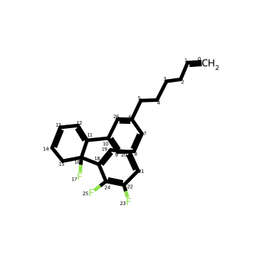 C=CCCCCc1cccc(C2=CC=CCC2(F)c2cccc(F)c2F)c1